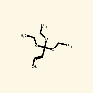 CC=CC(OCC)(OCC)OCC